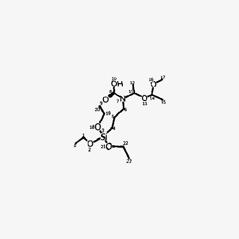 CCO[Si](CCCN(C(=O)O)C(C)OC(C)OC)(OCC)OCC